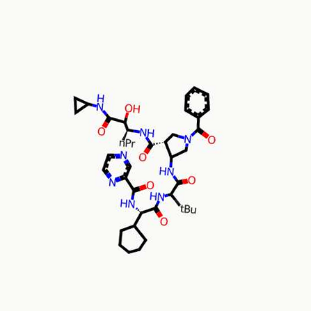 CCC[C@H](NC(=O)[C@@H]1CN(C(=O)c2ccccc2)CC1NC(=O)C(NC(=O)[C@@H](NC(=O)c1cnccn1)C1CCCCC1)C(C)(C)C)C(O)C(=O)NC1CC1